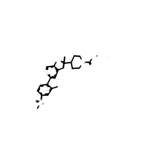 Cc1cc(S(C)(=O)=O)ccc1-c1cc2c(cn1)OC(C)(C1CCN(C(=O)OC(C)(C)C)CC1)C2